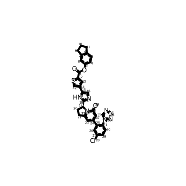 O=C(Oc1ccc2c(c1)CCC2)c1cc(-c2cnc([C@@H]3CCc4cc(-c5cc(Cl)ccc5-n5cnnn5)cc(=O)n43)[nH]2)cs1